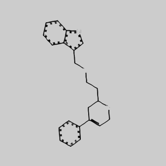 C1=C(c2ccccc2)CC(CCSCc2c[nH]c3ccccc23)NC1